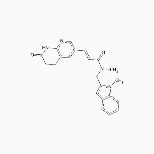 CN(Cc1cc2ccccc2n1C)C(=O)C=Cc1cnc2c(c1)CCC(=O)N2